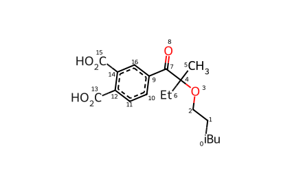 CCC(C)CCOC(C)(CC)C(=O)c1ccc(C(=O)O)c(C(=O)O)c1